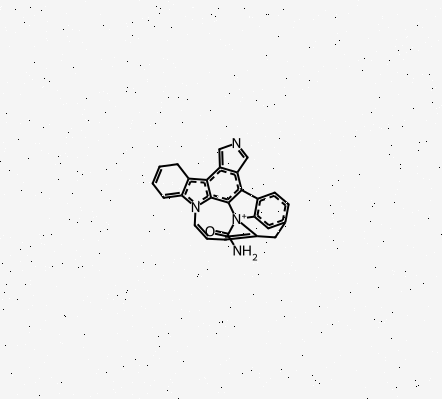 NC(=O)[N+]12/C3=C\C=C/n4c5c(c6c7c(c(c1c64)-c1ccc(cc12)C3)C=NC=7)CC=CC=5